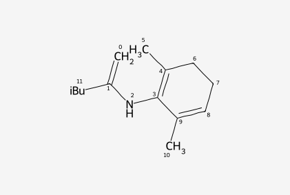 C=C(NC1=C(C)CCC=C1C)C(C)CC